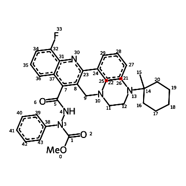 COC(=O)N(NC(=O)c1c(CN2CCN(C3(C)CCCCC3)CC2)c(-c2ccccc2)nc2c(F)cccc12)c1ccccc1